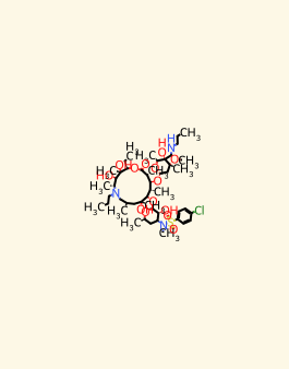 CCCNC[C@]1(O)[C@H](C)O[C@@H](O[C@H]2[C@H](C)[C@@H](O[C@@H]3O[C@H](C)C[C@H](N(C)S(=O)(=O)c4ccc(Cl)cc4)[C@H]3O)[C@](C)(O)C[C@@H](C)CN(CCC)[C@H](C)[C@@H](O)[C@](C)(O)[C@@H](CC)OC(=O)[C@@H]2C)C[C@@]1(C)OC